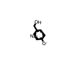 [Na+].[O-]c1ccc(CO)cc1